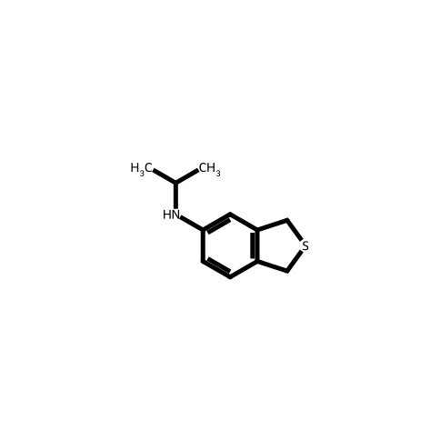 CC(C)Nc1ccc2c(c1)CSC2